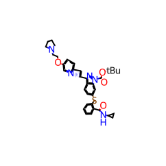 CC(C)(C)OC(=O)n1nc(/C=C/c2ccc(OCCN3CCCC3)cn2)c2ccc(Sc3ccccc3C(=O)NC3CC3)cc21